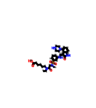 CCN(CCCCCC(=O)O)C(=O)CN(C)S(=O)(=O)c1cccc(N/C=C2\C(=O)Nc3cccc(N4CCNCC4)c32)c1